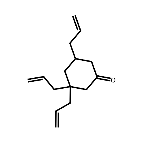 C=CCC1CC(=O)CC(CC=C)(CC=C)C1